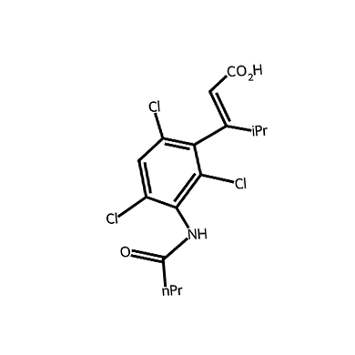 CCCC(=O)Nc1c(Cl)cc(Cl)c(C(=CC(=O)O)C(C)C)c1Cl